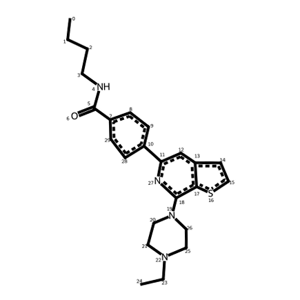 CCCCNC(=O)c1ccc(-c2cc3ccsc3c(N3CCN(CC)CC3)n2)cc1